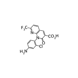 Nc1ccc(-n2c(=O)c(C(=O)O)cc3ccc(C(F)(F)F)nc32)c(Cl)c1